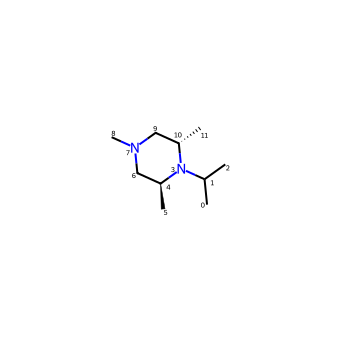 CC(C)N1[C@@H](C)CN(C)C[C@@H]1C